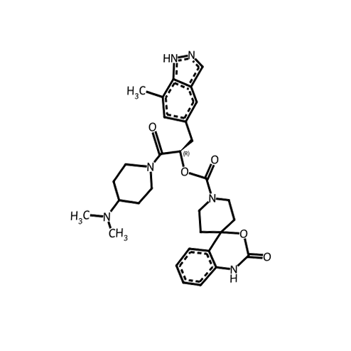 Cc1cc(C[C@@H](OC(=O)N2CCC3(CC2)OC(=O)Nc2ccccc23)C(=O)N2CCC(N(C)C)CC2)cc2cn[nH]c12